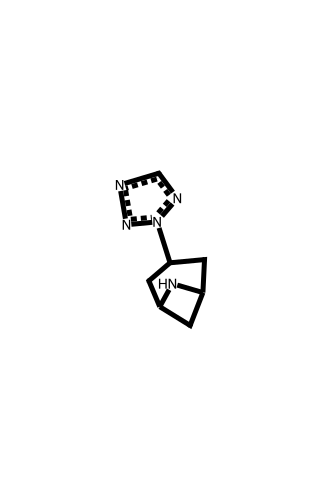 c1nnn(C2CC3CC(C2)N3)n1